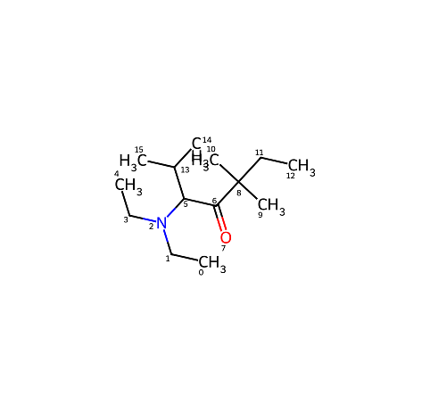 CCN(CC)C(C(=O)C(C)(C)CC)C(C)C